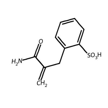 C=C(Cc1ccccc1S(=O)(=O)O)C(N)=O